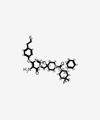 Nc1c(Oc2ccc(CCF)cc2)ncn(CC2(O)CCN(C(=O)[C@@H]3CCC(F)(F)C[C@H]3c3ccccc3)CC2)c1=O